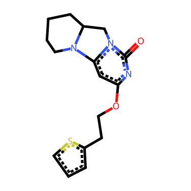 O=c1nc(OCCc2cccs2)cc2n1CC1CCCCN21